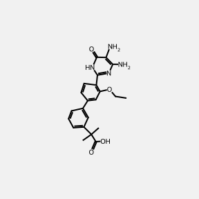 CCOc1cc(-c2cccc(C(C)(C)C(=O)O)c2)ccc1-c1nc(N)c(N)c(=O)[nH]1